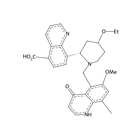 CCOC1CCN(Cc2c(OC)cc(C)c3[nH]ccc(=O)c23)[C@H](c2ccc(C(=O)O)c3cccnc23)C1